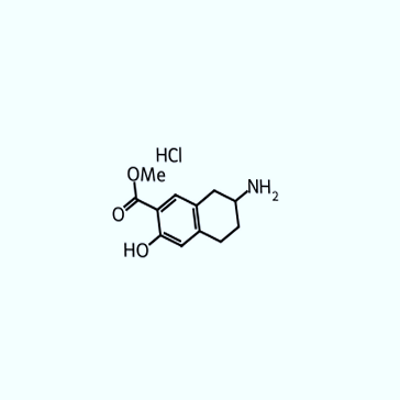 COC(=O)c1cc2c(cc1O)CCC(N)C2.Cl